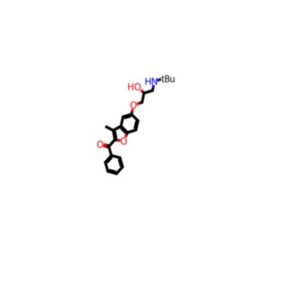 Cc1c(C(=O)c2ccccc2)oc2ccc(OCC(O)CNC(C)(C)C)cc12